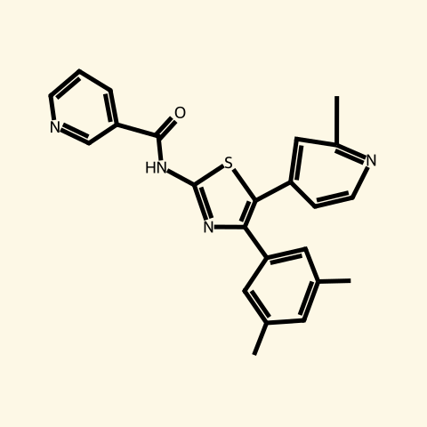 Cc1cc(C)cc(-c2nc(NC(=O)c3cccnc3)sc2-c2ccnc(C)c2)c1